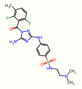 Cc1ccc(F)c(C(=O)n2nc(Nc3ccc(S(=O)(=O)NCCN(C)C)cc3)nc2N)c1F